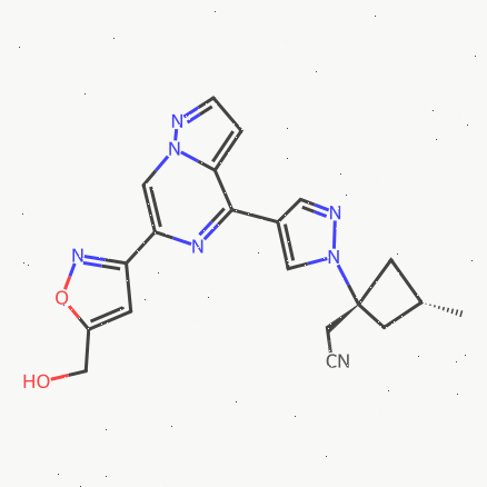 C[C@H]1C[C@@](CC#N)(n2cc(-c3nc(-c4cc(CO)on4)cn4nccc34)cn2)C1